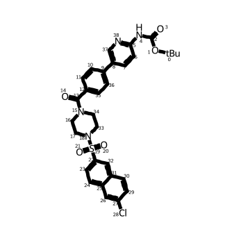 CC(C)(C)OC(=O)Nc1ccc(-c2ccc(C(=O)N3CCN(S(=O)(=O)c4ccc5cc(Cl)ccc5c4)CC3)cc2)cn1